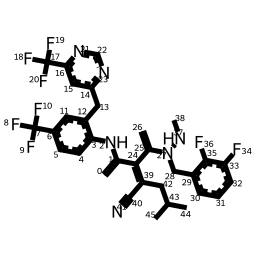 C=C(Nc1ccc(C(F)(F)F)cc1Cc1cc(C(F)(F)F)ncn1)/C(C(=C)N(Cc1cccc(F)c1F)NC)=C(\C#N)CC(C)C